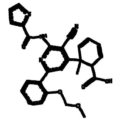 COCOc1ccccc1-c1cc(C2(C)C=CC=CC2C(=O)O)c(C#N)c(NC(=O)c2cccs2)n1